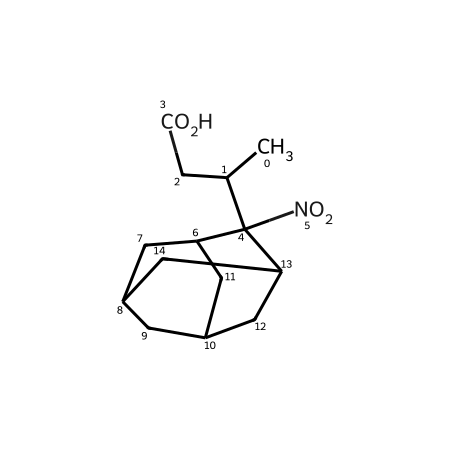 CC(CC(=O)O)C1([N+](=O)[O-])C2CC3CC(C2)CC1C3